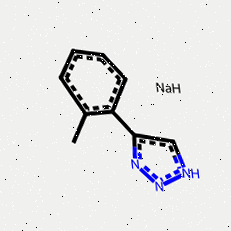 Cc1ccccc1-c1c[nH]nn1.[NaH]